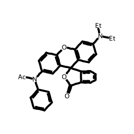 CCN(CC)c1ccc2c(c1)Oc1ccc(N(C(C)=O)c3ccccc3)cc1C21OC(=O)c2ccccc21